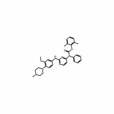 COc1cc(Nc2nccc(N(C(=O)Oc3c(C)cccc3C)c3ccccc3)n2)ccc1N1CCN(C)CC1